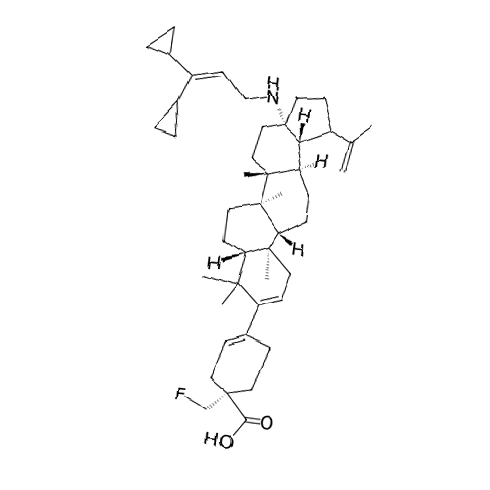 C=C(C)C1CC[C@]2(NCC=C(C3CC3)C3CC3)CC[C@]3(C)[C@H](CC[C@@H]4[C@@]5(C)CC=C(C6=CC[C@](CF)(C(=O)O)CC6)C(C)(C)[C@@H]5CC[C@]43C)[C@@H]12